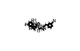 N#Cc1cccc(Cc2nnc(C(=O)N[C@]34C[C@@H](C3)c3cc(F)cc(F)c3NC4=O)[nH]2)c1